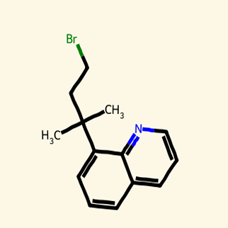 CC(C)(CCBr)c1cccc2cccnc12